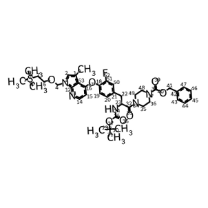 Cc1cn(COCCS(C)(C)C)c2nccc(Oc3ccc(C[C@H](NC(=O)OC(C)(C)C)C(=O)N4CCN(C(=O)OCc5ccccc5)CC4)cc3F)c12